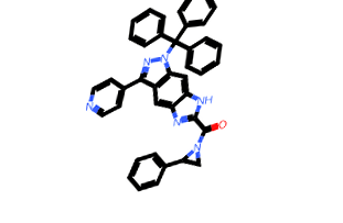 O=C(c1nc2cc3c(-c4ccncc4)nn(C(c4ccccc4)(c4ccccc4)c4ccccc4)c3cc2[nH]1)N1CC1c1ccccc1